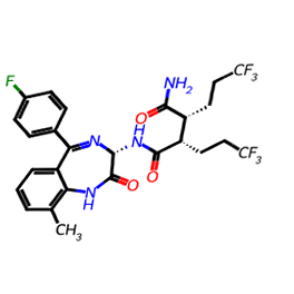 Cc1cccc2c1NC(=O)[C@@H](NC(=O)[C@@H](CCC(F)(F)F)[C@@H](CCC(F)(F)F)C(N)=O)N=C2c1ccc(F)cc1